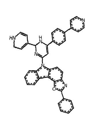 C1=CC(C2N=C(n3c4ccccc4c4c5oc(-c6ccccc6)nc5ccc43)C=C(c3ccc(-c4ccncc4)cc3)N2)=CCN1